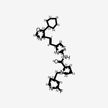 O=C(Nc1nc(/C=C/c2ncoc2C2CCCCC2)cs1)c1cccn1Cc1ccnc(F)c1